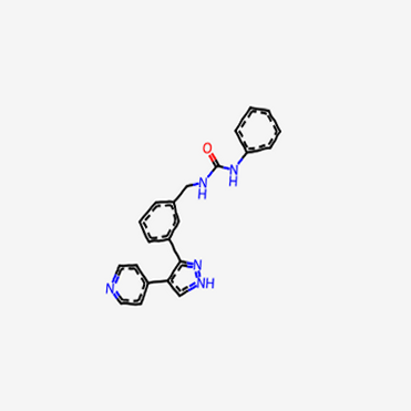 O=C(NCc1cccc(-c2n[nH]cc2-c2ccncc2)c1)Nc1ccccc1